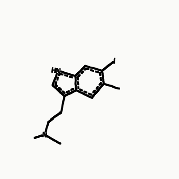 Cc1cc2c(CCN(C)C)c[nH]c2cc1I